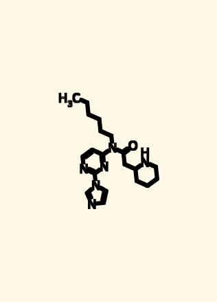 CCCCCCN(C(=O)CC1CCCCN1)c1ccnc(-n2ccnc2)n1